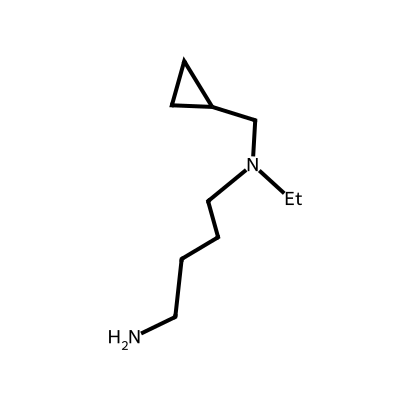 CCN(CCCCN)CC1CC1